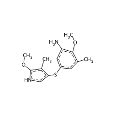 COc1[nH]cc(Sc2cc(C)c(OC)c(N)c2)c1C